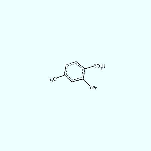 CCCc1cc(C)ccc1S(=O)(=O)O